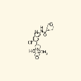 CC1(N2CCC(c3cc4cc(NC(=O)C5C6CCOCC65)ncc4cc3Cl)CC2)COCC1O